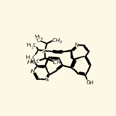 CC(C)[Si](C#Cc1nccc2cc(O)cc(-c3ccc4c(O)ncnc4c3)c12)(C(C)C)C(C)C